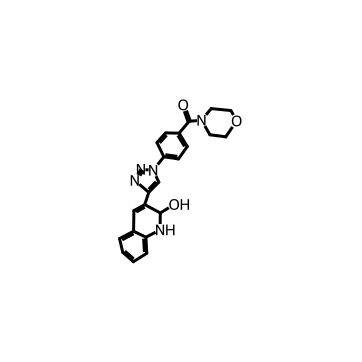 O=C(c1ccc(-n2cc(C3=Cc4ccccc4NC3O)nn2)cc1)N1CCOCC1